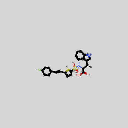 C[C@H](c1c[nH]c2ccccc12)[C@H](NS(=O)(=O)c1ccc(C#Cc2ccc(F)cc2)s1)C(=O)O